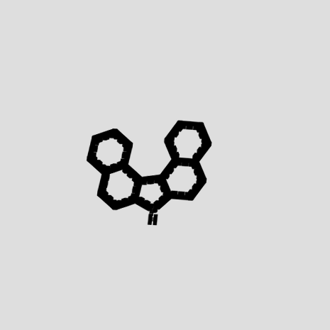 c1ccc2c(c1)ccc1[pH]c3ccc4ccccc4c3c12